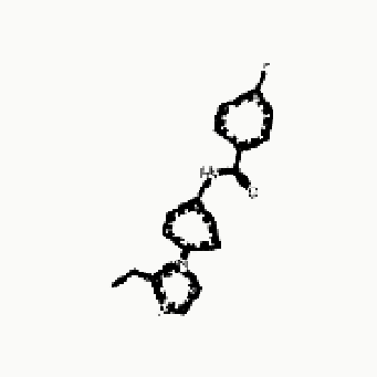 CCc1nccn1-c1ccc(NC(=O)c2ccc(F)cc2)cc1